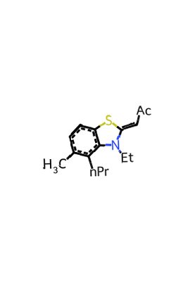 CCCc1c(C)ccc2c1N(CC)/C(=C/C(C)=O)S2